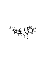 Cc1ncc(CNC(=O)c2cnccn2)s1